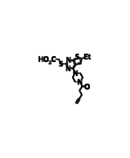 C#CCCC(=O)N1CCN(c2nc(SCC(=O)O)nc3sc(CC)cc23)CC1